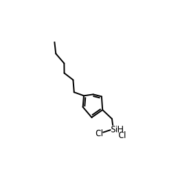 CCCCCCc1ccc(C[SiH](Cl)Cl)cc1